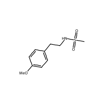 COc1ccc(CCNS(C)(=O)=O)cc1